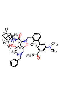 CNC(=O)c1cc(-c2cccc(CN3O[C@@H](CNCc4ccccc4)[C@@H]([C@H](C)O)[C@H]3C(=O)N[C@H]3C[C@H]4C[C@@H]([C@@H]3C)C4(C)C)c2C)cc(N(C)C)c1